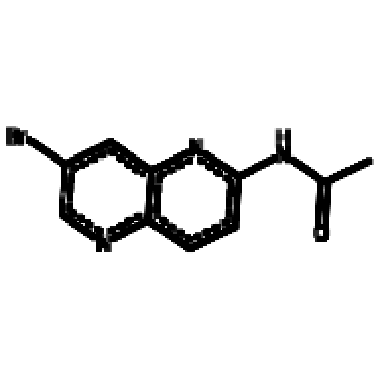 CC(=O)Nc1ccc2ncc(Br)cc2n1